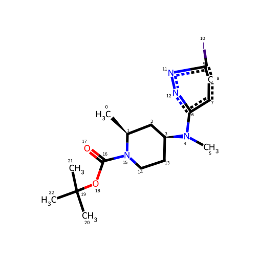 C[C@H]1C[C@@H](N(C)c2ccc(I)nn2)CCN1C(=O)OC(C)(C)C